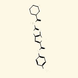 COc1ccc(NC(=O)c2cc3sc(NC(=O)C4CCCCC4)nc3s2)cc1